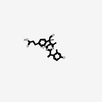 C=C(c1nc(C)c([C@@](C)(C=O)c2ccc(CCC(=O)O)cc2)c(N)n1)c1ccc(Cl)cc1C